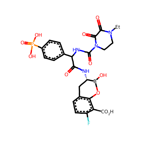 CCN1CCN(C(=O)NC(C(=O)N[C@H]2Cc3ccc(F)c(C(=O)O)c3OB2O)c2ccc(P(=O)(O)O)cc2)C(=O)C1=O